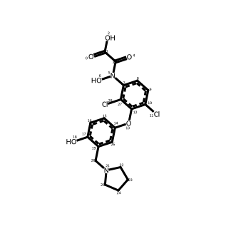 O=C(O)C(=O)N(O)c1ccc(Cl)c(Oc2ccc(O)c(CN3CCCC3)c2)c1Cl